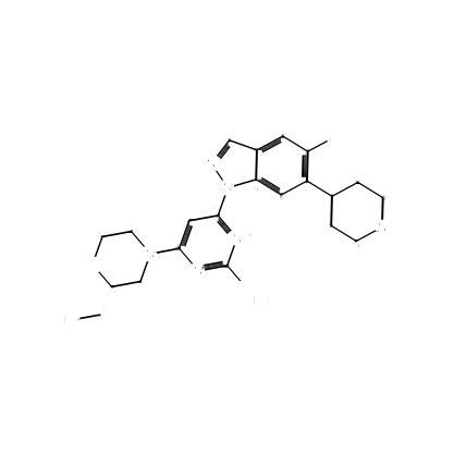 Cc1nc(N2CCO[C@@H](CO)C2)cc(-n2ncc3cc(C)c(C4CCNCC4)cc32)n1.Cl